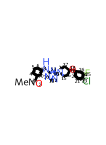 CNC(=O)c1cccc(Nc2ncnc(N3CCC(Oc4ccc(Cl)c(F)c4)CC3)n2)c1